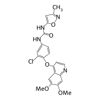 COc1cc2nccc(Oc3ccc(NC(=O)Nc4cc(C)no4)cc3Cl)c2cc1OC